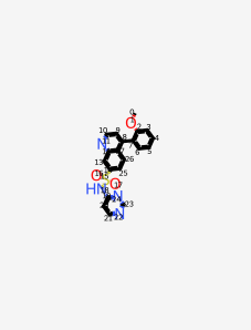 COc1ccccc1-c1ccnc2cc(S(=O)(=O)Nc3ccncn3)ccc12